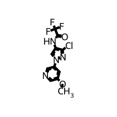 COc1cncc(-n2cc(NC(=O)C(F)(F)F)c(Cl)n2)c1